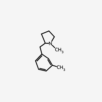 Cc1cccc(CC2CCCN2C)c1